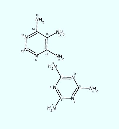 Nc1nc(N)nc(N)n1.Nc1nnnc(N)c1N